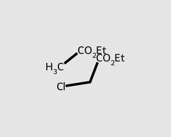 CCOC(=O)CCl.CCOC(C)=O